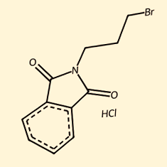 Cl.O=C1c2ccccc2C(=O)N1CCCBr